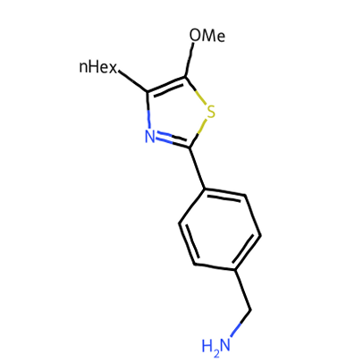 CCCCCCc1nc(-c2ccc(CN)cc2)sc1OC